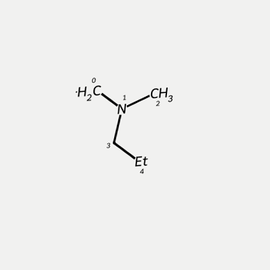 [CH2]N(C)CCC